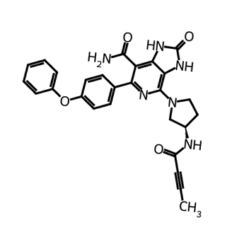 CC#CC(=O)N[C@@H]1CCN(c2nc(-c3ccc(Oc4ccccc4)cc3)c(C(N)=O)c3[nH]c(=O)[nH]c23)C1